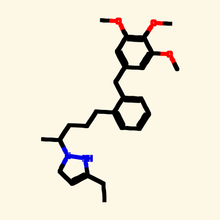 CCC1=CCN(C(C)CCCc2ccccc2Cc2cc(OC)c(OC)c(OC)c2)N1